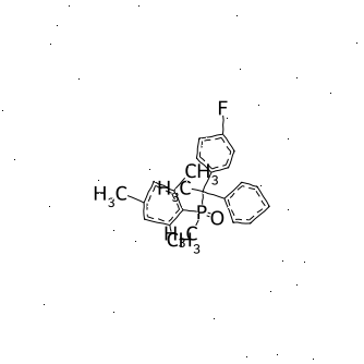 Cc1cc(C)c(P(C)(=O)C(C)(c2ccccc2)c2ccc(F)cc2)c(C)c1